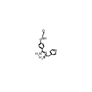 N/C(=N\N(N)Cc1ccncc1)c1ccc(SNCC=O)cc1